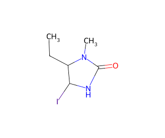 CCC1C(I)NC(=O)N1C